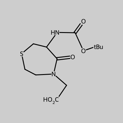 CC(C)(C)OC(=O)NC1CSCCN(CC(=O)O)C1=O